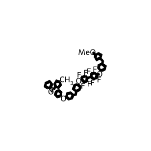 COc1ccc(Cc2ccc(Oc3c(F)c(F)c(-c4c(F)c(F)c(Oc5ccc(Cc6ccc(Oc7ccc(P(=O)(c8ccccc8)c8ccc(C)cc8)cc7)cc6)cc5)c(F)c4F)c(F)c3F)cc2)cc1